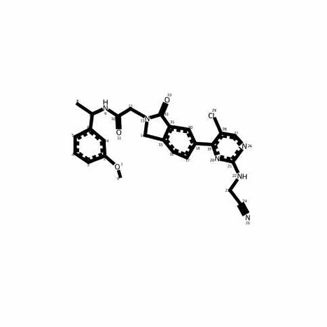 COc1cccc(C(C)NC(=O)CN2Cc3ccc(-c4nc(NCC#N)ncc4Cl)cc3C2=O)c1